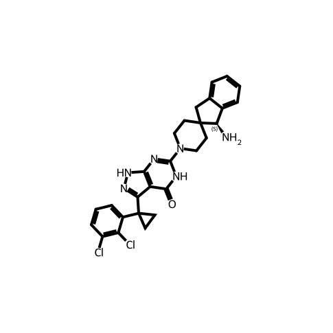 N[C@@H]1c2ccccc2CC12CCN(c1nc3[nH]nc(C4(c5cccc(Cl)c5Cl)CC4)c3c(=O)[nH]1)CC2